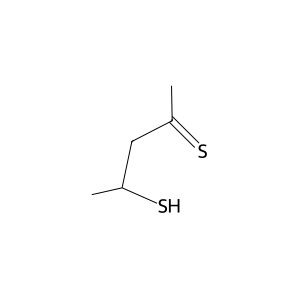 CC(=S)CC(C)S